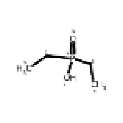 CCP(=O)(O)CC